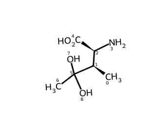 C[C@H]([C@H](N)C(=O)O)C(C)(O)O